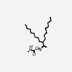 CCCCCCCCC(CCCCCCCC)/C(C)=N\OC(=O)NC